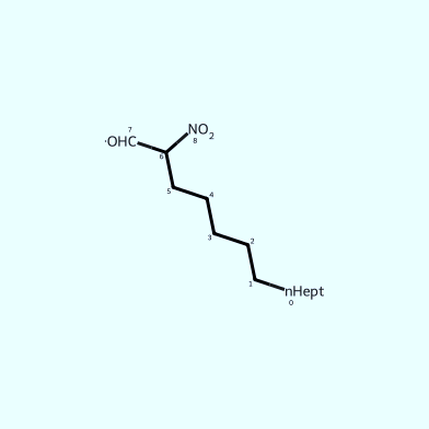 CCCCCCCCCCCCC([C]=O)[N+](=O)[O-]